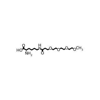 COCCOCCOCCOCCC(=O)NCCCC[C@H](N)C(=O)O